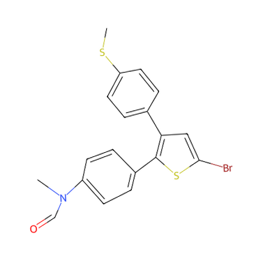 CSc1ccc(-c2cc(Br)sc2-c2ccc(N(C)C=O)cc2)cc1